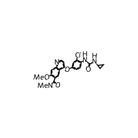 CNC(=O)c1cc2c(Oc3ccc(NC(=O)NC4CC4)c(Cl)c3)ccnc2cc1OC